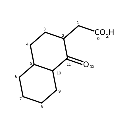 O=C(O)CC1CCC2CCCCC2C1=O